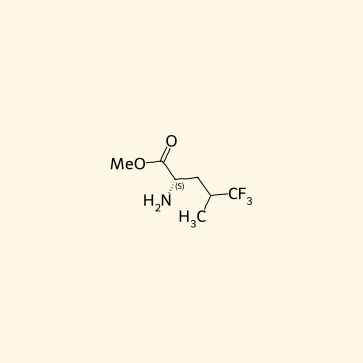 COC(=O)[C@@H](N)CC(C)C(F)(F)F